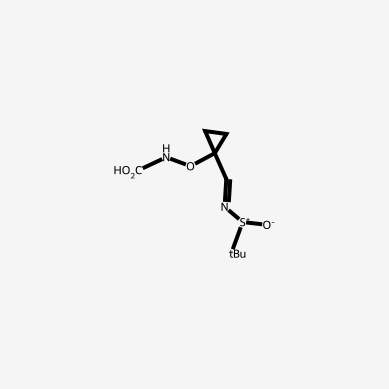 CC(C)(C)[S+]([O-])N=CC1(ONC(=O)O)CC1